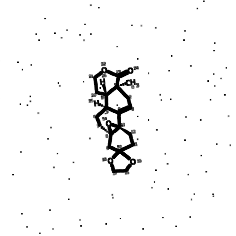 C[C@]12CC=C3[C@@H](CC[C@@]45CC6(CC[C@@]34O5)OCCO6)[C@@H]1CCOC2=O